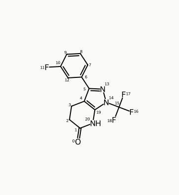 O=C1CCc2c(-c3cccc(F)c3)nn(C(F)(F)F)c2N1